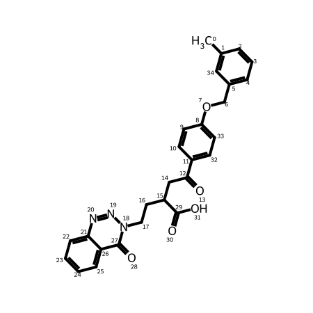 Cc1cccc(COc2ccc(C(=O)CC(CCn3nnc4ccccc4c3=O)C(=O)O)cc2)c1